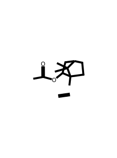 C=C.CC(=O)OC1CC2CCC1(C)C2(C)C